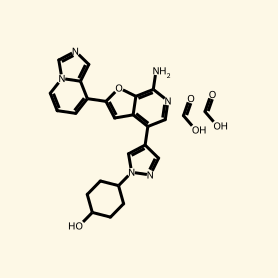 Nc1ncc(-c2cnn(C3CCC(O)CC3)c2)c2cc(-c3cccn4cncc34)oc12.O=CO.O=CO